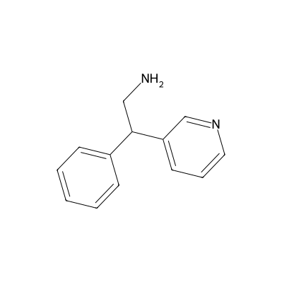 NCC(c1ccccc1)c1cccnc1